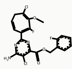 COC1=C(Cl)CC=CC(c2nc(N)c(Cl)c(C(=O)OCc3ccccc3F)n2)=C1F